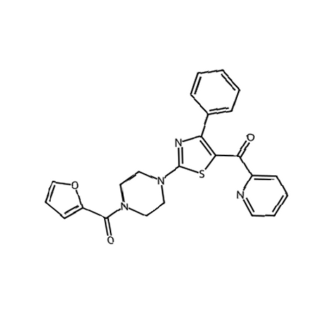 O=C(c1ccccn1)c1sc(N2CCN(C(=O)c3ccco3)CC2)nc1-c1ccccc1